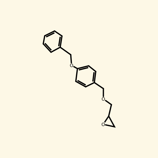 c1ccc(COc2ccc(COCC3CO3)cc2)cc1